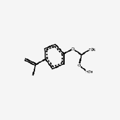 C=C(C)c1ccc(OC(CCCC)OCCCC)cc1